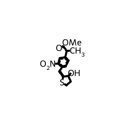 COC(=O)C(C)c1ccc(C=C2SCCC2O)c([N+](=O)[O-])c1